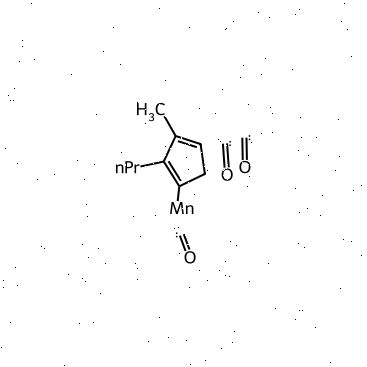 CCCC1=[C]([Mn])CC=C1C.[C]=O.[C]=O.[C]=O